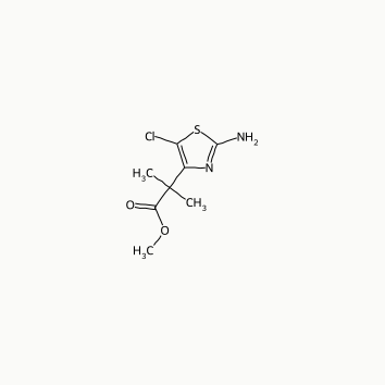 COC(=O)C(C)(C)c1nc(N)sc1Cl